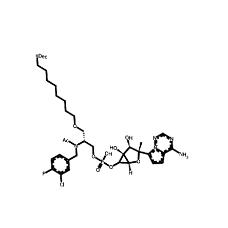 CCCCCCCCCCCCCCCCCCOC[C@H](COP(=O)(O)OC1[C@H]2O[C@@](C)(c3ccc4c(N)ncnn34)[C@H](O)[C@@]12O)N(Cc1ccc(F)c(Cl)c1)C(C)=O